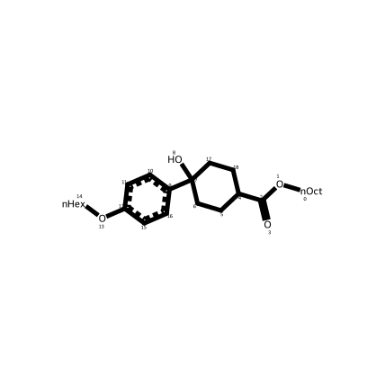 CCCCCCCCOC(=O)C1CCC(O)(c2ccc(OCCCCCC)cc2)CC1